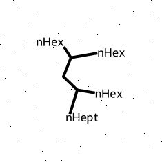 CCCCCCCC(CCCCCC)CC(CCCCCC)CCCCCC